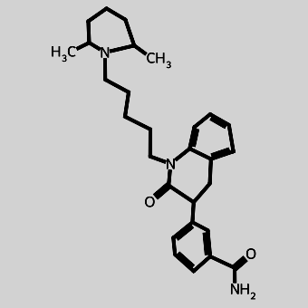 CC1CCCC(C)N1CCCCCN1C(=O)C(c2cccc(C(N)=O)c2)Cc2ccccc21